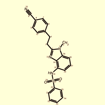 Cn1c(CCc2ccc(C#N)cc2)nc2c(NS(=O)(=O)c3ccccc3)cccc21